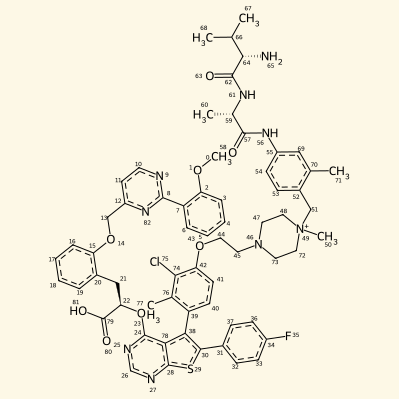 COc1ccccc1-c1nccc(COc2ccccc2C[C@@H](Oc2ncnc3sc(-c4ccc(F)cc4)c(-c4ccc(OCCN5CC[N+](C)(Cc6ccc(NC(=O)[C@H](C)NC(=O)[C@@H](N)C(C)C)cc6C)CC5)c(Cl)c4C)c23)C(=O)O)n1